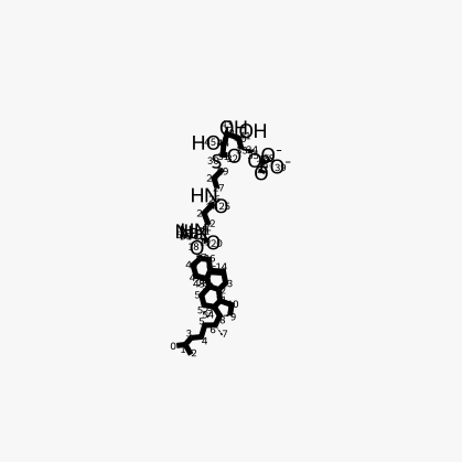 CC(C)CCC[C@@H](C)[C@H]1CCC2C3CC=C4CC(OC(=O)NCCC(=O)NCCCS[C@@H]5O[C@H](COP(=O)([O-])[O-])[C@@H](O)[C@H](O)[C@@H]5O)CC[C@]4(C)C3CC[C@@]21C.[Na+].[Na+]